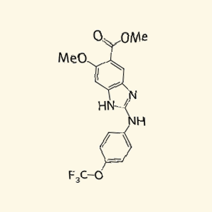 COC(=O)c1cc2nc(Nc3ccc(OC(F)(F)F)cc3)[nH]c2cc1OC